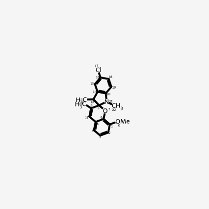 COc1cccc2c1OC1(C(C)=C2)C(C)c2cc(Cl)ccc2N1C